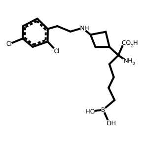 NC(CCCCB(O)O)(C(=O)O)C1CC(NCCc2ccc(Cl)cc2Cl)C1